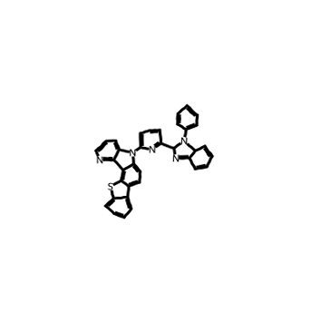 C1=CC2=NC(c3cccc(-n4c5cccnc5c5c6sc7ccccc7c6ccc54)n3)N(c3ccccc3)C2C=C1